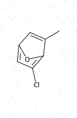 Cc1cc2cc(Cl)c1o2